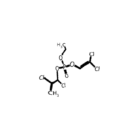 CCOP(=O)(OC=C(Cl)Cl)OC(Cl)C(C)Cl